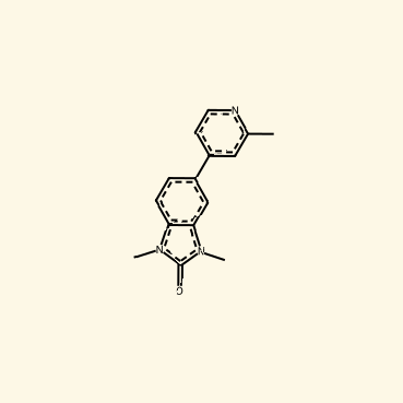 Cc1cc(-c2ccc3c(c2)n(C)c(=O)n3C)ccn1